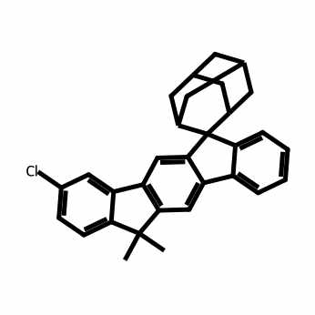 CC1(C)c2ccc(Cl)cc2-c2cc3c(cc21)-c1ccccc1C31C2CC3CC(C2)CC1C3